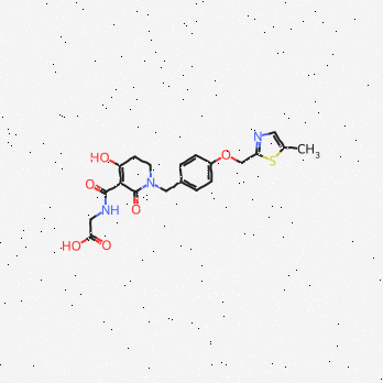 Cc1cnc(COc2ccc(CN3CCC(O)=C(C(=O)NCC(=O)O)C3=O)cc2)s1